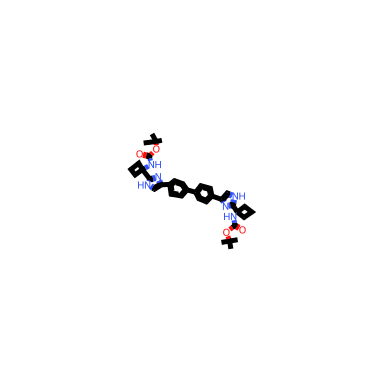 CC(C)(C)OC(=O)NC1(c2nc(-c3ccc(-c4ccc(-c5c[nH]c(C6(NC(=O)OC(C)(C)C)CCC6)n5)cc4)cc3)c[nH]2)CCC1